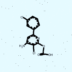 Nc1cc(-c2cccc(Cl)c2)nc(OC(=O)O)c1Cl